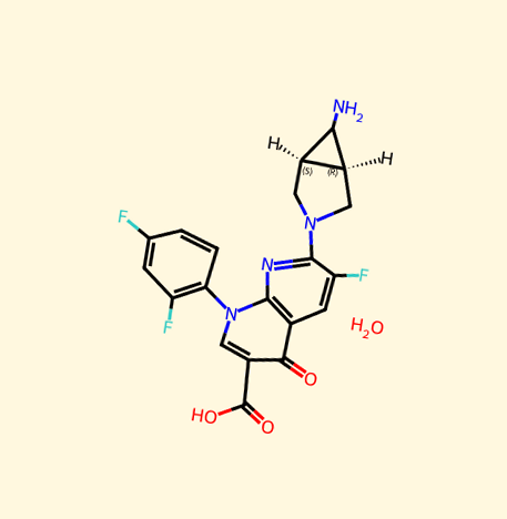 NC1[C@H]2CN(c3nc4c(cc3F)c(=O)c(C(=O)O)cn4-c3ccc(F)cc3F)C[C@@H]12.O